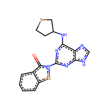 O=c1c2ccccc2sn1-c1nc(NC2CCSC2)c2nc[nH]c2n1